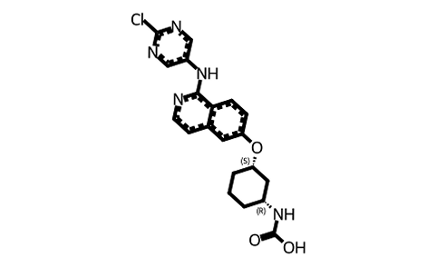 O=C(O)N[C@@H]1CCC[C@H](Oc2ccc3c(Nc4cnc(Cl)nc4)nccc3c2)C1